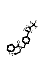 C#CCN(Cc1ccc(-c2noc(C(F)(F)F)n2)cc1)C(=O)c1ccccc1